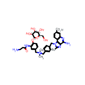 CCCCc1nc2c(N)nc3cc(C(=O)O)ccc3c2n1Cc1ccc(C[N+](C)(C)Cc2ccc(O[C@H]3O[C@H](CO)[C@@H](O)[C@H](O)[C@@H]3O)c(NC(=O)CCN)c2)cc1